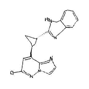 Clc1cc([C@H]2C[C@@H]2c2nc3ccccc3[nH]2)c2nccn2n1